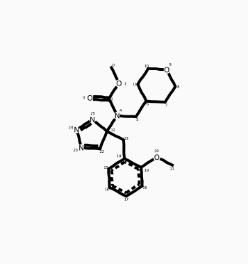 COC(=O)N(CC1CCOCC1)C1(Cc2ccccc2OC)C=NN=N1